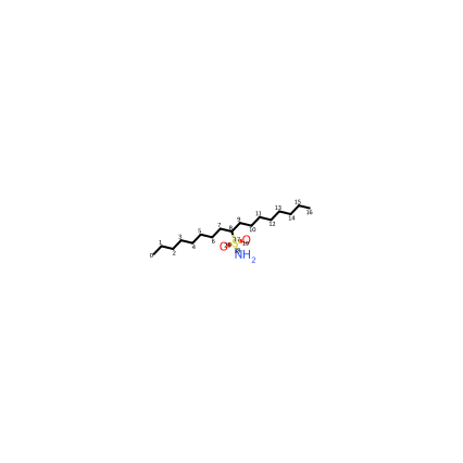 CCCCCCCCC(CCCCCCCC)S(N)(=O)=O